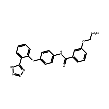 CCOC(=O)COc1cccc(C(=O)Nc2ccc(Sc3ccccc3-c3nnn[nH]3)cc2)c1